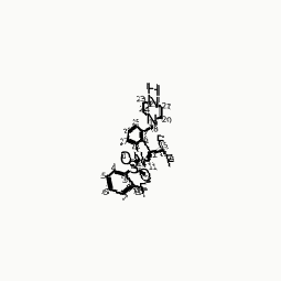 O=S(=O)(c1ccccc1F)n1cc(C(F)F)c2c(CN3CCNCC3)cccc21